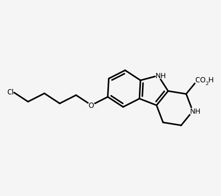 O=C(O)C1NCCc2c1[nH]c1ccc(OCCCCCl)cc21